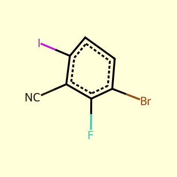 N#Cc1c(I)ccc(Br)c1F